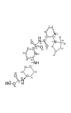 CC1CN(c2ncccc2C(=O)NS(=O)(=O)c2cccc(N[C@H]3CC[C@H](NC(=O)OC(C)(C)C)CC3)n2)C(C)(C)C1